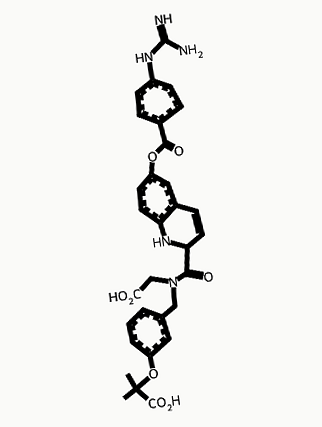 CC(C)(Oc1cccc(CN(CC(=O)O)C(=O)C2C=Cc3cc(OC(=O)c4ccc(NC(=N)N)cc4)ccc3N2)c1)C(=O)O